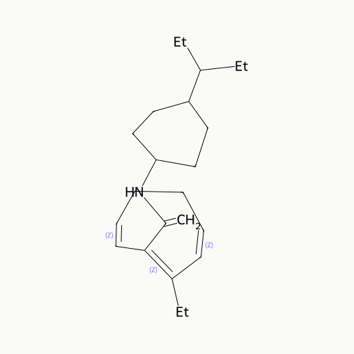 C=C(NC1CCC(C(CC)CC)CC1)C1=C(CC)\C=C/CC/C=C\1